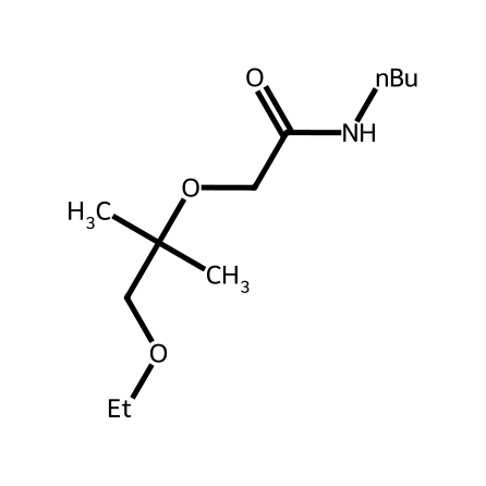 CCCCNC(=O)COC(C)(C)COCC